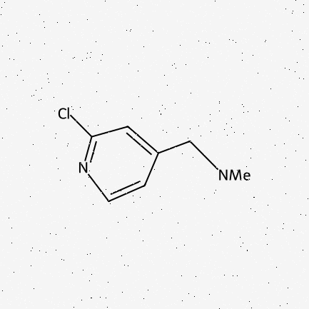 CNCc1ccnc(Cl)c1